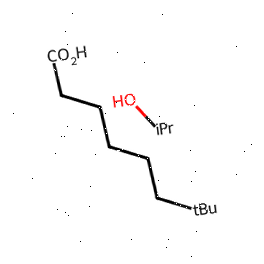 CC(C)(C)CCCCCC(=O)O.CC(C)O